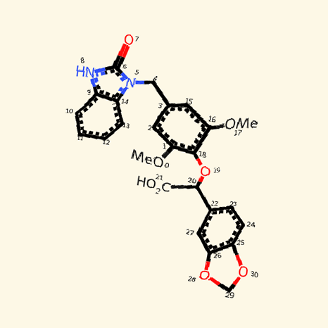 COc1cc(Cn2c(=O)[nH]c3ccccc32)cc(OC)c1OC(C(=O)O)c1ccc2c(c1)OCO2